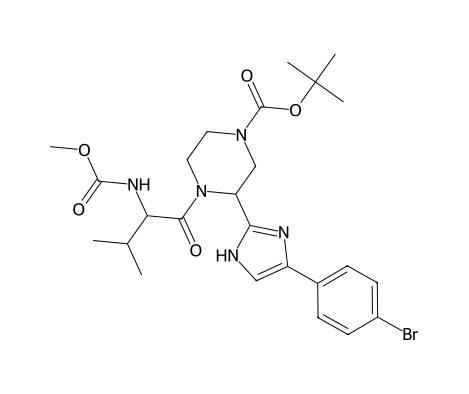 COC(=O)NC(C(=O)N1CCN(C(=O)OC(C)(C)C)CC1c1nc(-c2ccc(Br)cc2)c[nH]1)C(C)C